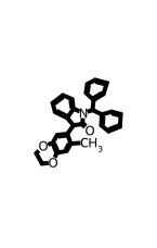 Cc1cc2c(cc1C1C(=O)N(C(c3ccccc3)c3ccccc3)c3ccccc31)OCCO2